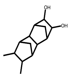 CC1C(C)C2CC1C1C3CC(C(O)C3O)C21